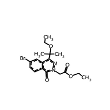 CCOC(=O)Cn1nc(C(C)(C)OCC)c2cc(Br)ccc2c1=O